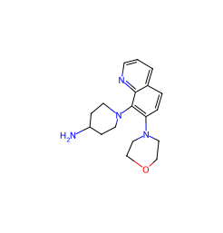 NC1CCN(c2c(N3CCOCC3)ccc3cccnc23)CC1